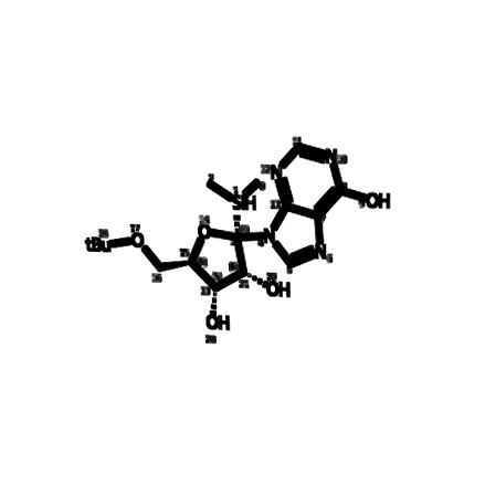 C[SiH](C)[C@@]1(n2cnc3c(O)ncnc32)O[C@H](COC(C)(C)C)[C@@H](O)[C@H]1O